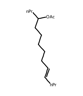 CCCC=CCCCCCC(CCC)OC(C)=O